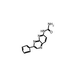 NC(=O)Nc1ccc2ncc(-c3ccccc3)nc2n1